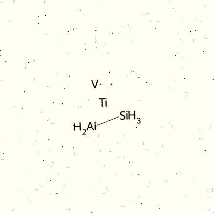 [AlH2][SiH3].[Ti].[V]